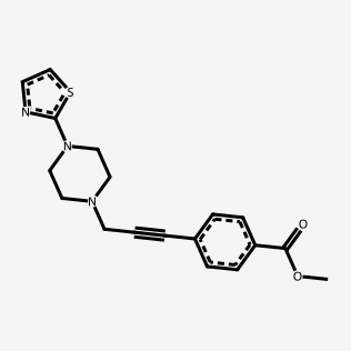 COC(=O)c1ccc(C#CCN2CCN(c3nccs3)CC2)cc1